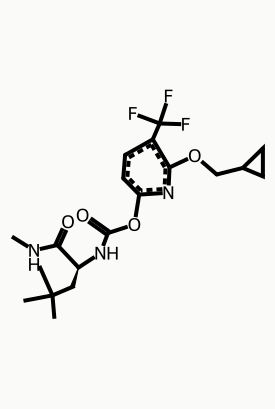 CNC(=O)[C@H](CC(C)(C)C)NC(=O)Oc1ccc(C(F)(F)F)c(OCC2CC2)n1